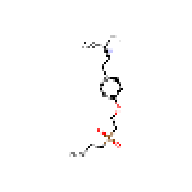 CCCCCCCCCCCCS(=O)(=O)CCOc1ccc(C/C=C(\OC(C)=O)C(F)(F)F)cc1